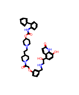 O=C(Nc1ccccc1-c1ccccc1)OC1CCN(CCC2CCN(C(=O)COc3cccc(CNCC(O)c4ccc(O)c5[nH]c(=O)ccc45)c3)CC2)CC1